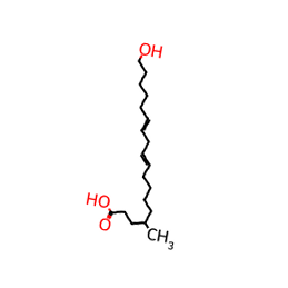 CC(CCCCC=CCC=CCCCCCO)CCC(=O)O